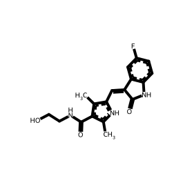 Cc1[nH]c(C=C2C(=O)Nc3ccc(F)cc32)c(C)c1C(=O)NCCO